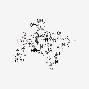 CCN1N=C(C)CC1C(=O)/N=c1\[nH]c2cc(C(N)=O)cc(OCCCN3CC4(COC4)C3)c2n1C(C)n1/c(=N\C(=O)c2cc(C)nn2CC)[nH]c2cc(C(N)=O)cc(OC)c21